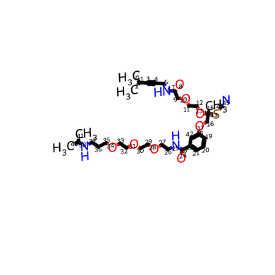 CC(C)C#CCNC(=O)COCCOC(C)(COc1cccc(C(=O)NCCOCCOCCOCCCNC(C)C)c1)SC#N